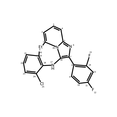 CCc1cccc2nc(-c3ccc(F)cc3F)c(Nc3c(C)cccc3Cl)n12